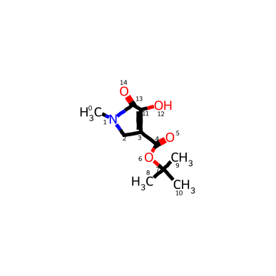 CN1CC(C(=O)OC(C)(C)C)=C(O)C1=O